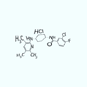 Cc1cc(C)c(N[C@H]2CC[C@@H](NC(=O)c3ccc(F)c(Cl)c3)CC2)nc1C.Cl